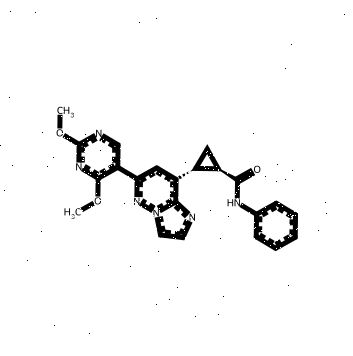 COc1ncc(-c2cc([C@@H]3C[C@H]3C(=O)Nc3ccccc3)c3nccn3n2)c(OC)n1